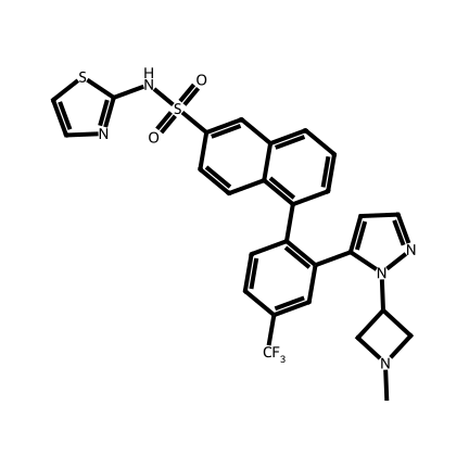 CN1CC(n2nccc2-c2cc(C(F)(F)F)ccc2-c2cccc3cc(S(=O)(=O)Nc4nccs4)ccc23)C1